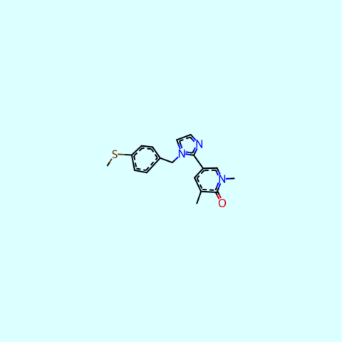 CSc1ccc(Cn2ccnc2-c2cc(C)c(=O)n(C)c2)cc1